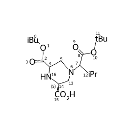 CCC(C)OC(=O)C1CN(C(C(=O)OC(C)(C)C)C(C)C)C[C@@H](C(=O)O)N1